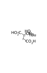 O=C(O)CC(O)C(=O)O.[CH2]CCCO